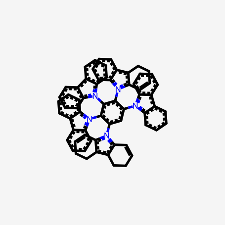 C1=Cc2c(c3c(n2-c2cc(-n4c5ccccc5c5ccccc54)c(-n4c5c(c6ccccc64)CCC=C5)c(-n4c5ccccc5c5ccccc54)c2-n2c4ccccc4c4ccccc42)C=CCC3)CC1